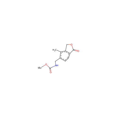 Cc1c(CNC(=O)OC(C)(C)C)ccc2c1COC2=O